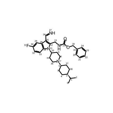 CC(C)[C@H]1CC[C@@H](N2CCC(n3c(CNC(=O)OCc4ccccc4)c(C=N)c4cc(F)ccc43)CC2)CC1